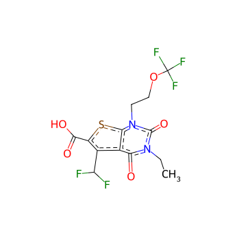 CCn1c(=O)c2c(C(F)F)c(C(=O)O)sc2n(CCOC(F)(F)F)c1=O